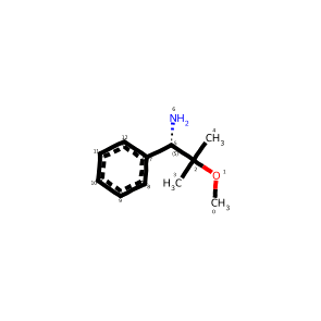 COC(C)(C)[C@@H](N)c1ccccc1